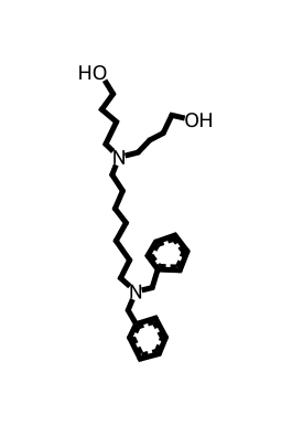 OCCCCN(CCCCO)CCCCCCCN(Cc1ccccc1)Cc1ccccc1